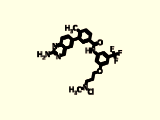 Cc1ccc(C(=O)Nc2cc(OCCCN(C)Cl)cc(C(F)(F)F)c2)cc1-c1ccc2nc(N)ncc2c1